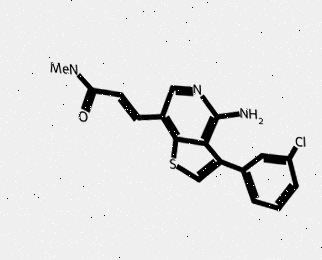 CNC(=O)C=Cc1cnc(N)c2c(-c3cccc(Cl)c3)csc12